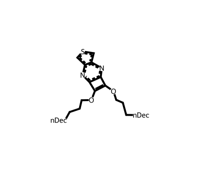 CCCCCCCCCCCCCOC1=C(OCCCCCCCCCCCCC)c2nc3cscc3nc21